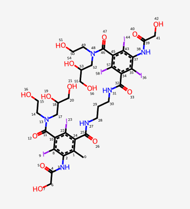 Cc1c(NC(=O)CO)c(I)c(C(=O)N(CCO)CC(O)CO)c(I)c1C(=O)NCCCNC(=O)c1c(I)c(NC(=O)CO)c(I)c(C(=O)N(CCO)CC(O)CO)c1I